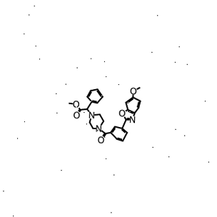 COC(=O)C(c1ccccc1)N1CCN(C(=O)c2cccc(-c3nc4ccc(OC)cc4o3)c2)CC1